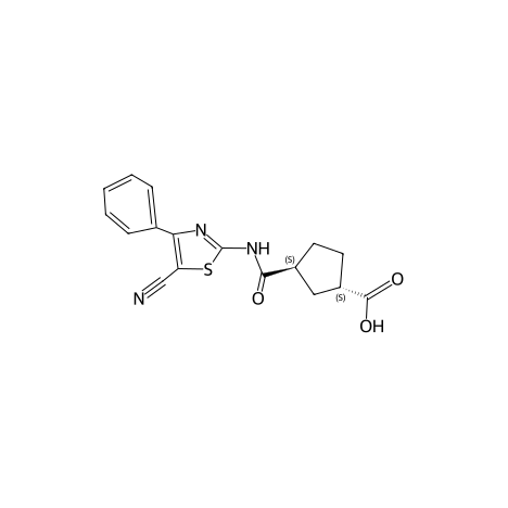 N#Cc1sc(NC(=O)[C@H]2CC[C@H](C(=O)O)C2)nc1-c1ccccc1